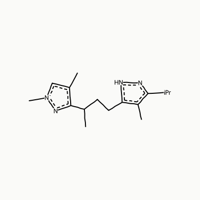 Cc1cn(C)nc1C(C)CCc1[nH]nc(C(C)C)c1C